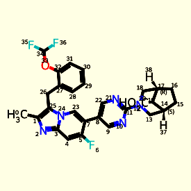 Cc1nc2cc(F)c(-c3cnc(N4C[C@H]5CC[C@@H](C4)C5C(=O)O)nc3)cn2c1Cc1ccccc1OC(F)F